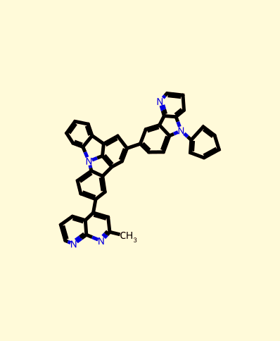 Cc1cc(-c2ccc3c(c2)c2cc(-c4ccc5c(c4)c4ncccc4n5-c4ccccc4)cc4c5ccccc5n3c42)c2cccnc2n1